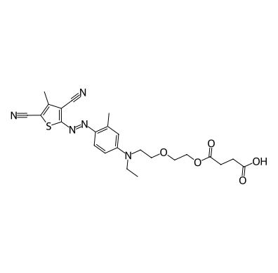 CCN(CCOCCOC(=O)CCC(=O)O)c1ccc(/N=N/c2sc(C#N)c(C)c2C#N)c(C)c1